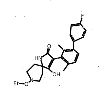 CCON1CCC2(CC1)NC(=O)C(c1c(C)ccc(-c3ccc(F)cc3)c1C)=C2O